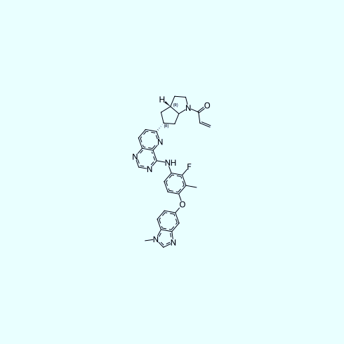 C=CC(=O)N1CC[C@H]2C[C@@H](c3ccc4ncnc(Nc5ccc(Oc6ccc7c(c6)ncn7C)c(C)c5F)c4n3)CC21